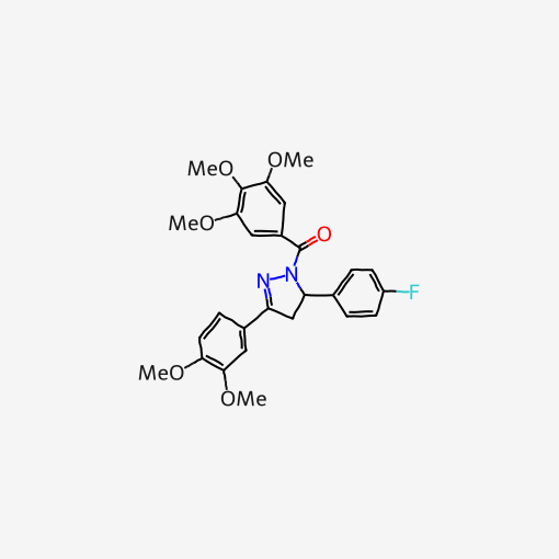 COc1ccc(C2=NN(C(=O)c3cc(OC)c(OC)c(OC)c3)C(c3ccc(F)cc3)C2)cc1OC